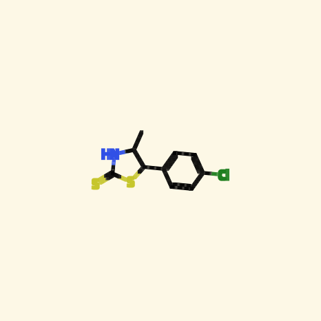 CC1NC(=S)SC1c1ccc(Cl)cc1